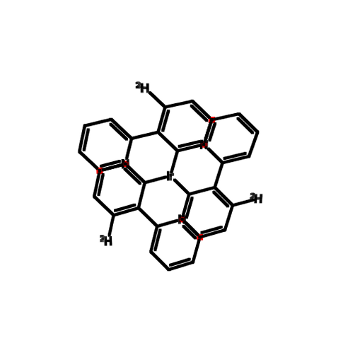 [2H]c1ccc[c]([Ir]([c]2cccc([2H])c2-c2ccccn2)[c]2cccc([2H])c2-c2ccccn2)c1-c1ccccn1